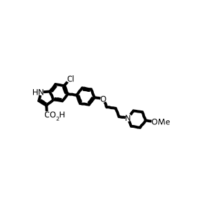 COC1CCN(CCCOc2ccc(-c3cc4c(C(=O)O)c[nH]c4cc3Cl)cc2)CC1